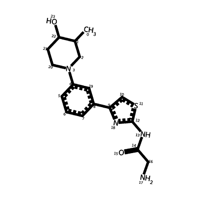 CC1CN(c2cccc(-c3csc(NC(=O)CN)n3)c2)CCC1O